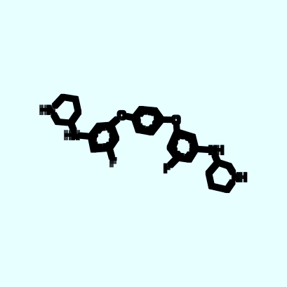 Fc1cc(NC2CCCNC2)cc(Oc2ccc(Oc3cc(F)cc(NC4CCCNC4)c3)cc2)c1